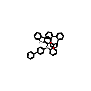 c1ccc(-c2ccc(N(c3ccccc3-c3c4cccc3-c3ccccc3-c3ccccc3-4)c3cccc4c3oc3ccccc34)cc2)cc1